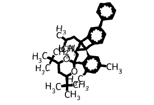 Cc1cc(C)c(C2(CN)OC(C(C)(C)C)CC(C(C)(C)C)O2)c([C@@]23CC2(CC(C)C)c2cc(-c4ccccc4)ccc23)c1